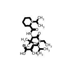 CCN(C(=O)[C@@H](NC(=O)C1CCCCN1C(C)C)C(C)(C)C)[C@H](/C=C(\C)C(=O)O)C(C)C